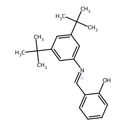 CC(C)(C)c1cc(/N=C/c2ccccc2O)cc(C(C)(C)C)c1